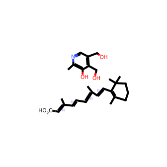 CC1=C(/C=C/C(C)=C/C=C/C(C)=C/C(=O)O)C(C)(C)CCC1.Cc1ncc(CO)c(CO)c1O